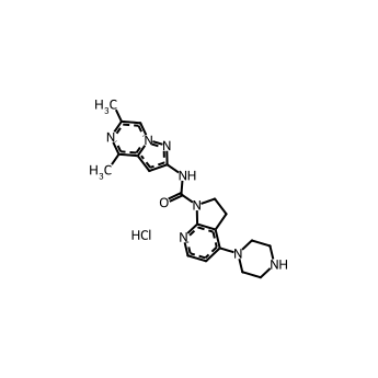 Cc1cn2nc(NC(=O)N3CCc4c(N5CCNCC5)ccnc43)cc2c(C)n1.Cl